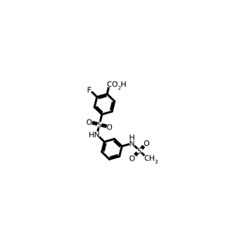 CS(=O)(=O)Nc1cccc(NS(=O)(=O)c2ccc(C(=O)O)c(F)c2)c1